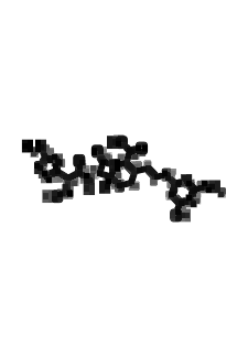 Nc1nc(O)cc(SC=CC2=C(C(=O)O)N3C(=O)[C@@H](NC(=O)C(=NO)c4nsc(N)n4)[C@H]3SC2)n1